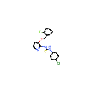 Fc1ccccc1COc1cccnc1NC(=S)Nc1ccc(Cl)cc1